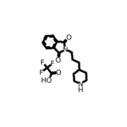 O=C(O)C(F)(F)F.O=C1c2ccccc2C(=O)N1CCCC1CCNCC1